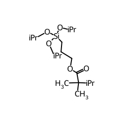 CC(C)O[Si](CCCOC(=O)C(C)(C)C(C)C)(OC(C)C)OC(C)C